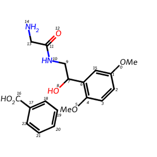 COc1ccc(OC)c(C(O)CNC(=O)CN)c1.O=C(O)c1ccccc1